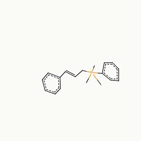 CP(C)(C)(CC=Cc1ccccc1)c1ccccc1